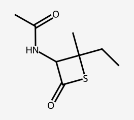 CCC1(C)SC(=O)C1NC(C)=O